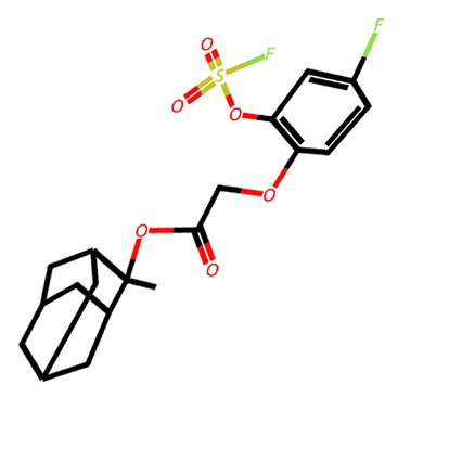 CC1(OC(=O)COc2ccc(F)cc2OS(=O)(=O)F)C2CC3CC(C2)CC1C3